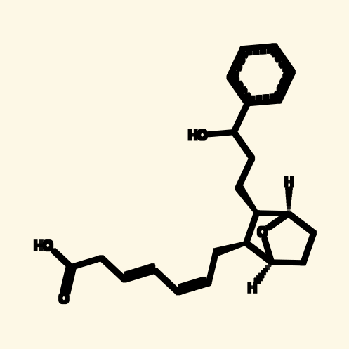 O=C(O)CC=C/C=C\C[C@H]1[C@@H](CCC(O)c2ccccc2)[C@H]2CC[C@@H]1O2